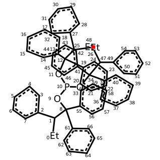 CCC(c1ccccc1)C(OP(OC(c1ccccc1)(c1ccccc1)C(CC)c1ccccc1)OC(c1ccccc1)(c1ccccc1)C(CC)c1ccccc1)(c1ccccc1)c1ccccc1